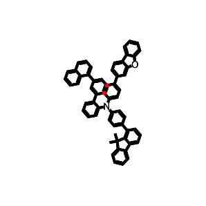 CC1(C)c2ccccc2-c2cccc(-c3ccc(N(c4ccc(-c5ccc6c(c5)oc5ccccc56)cc4)c4ccccc4-c4cccc(-c5cccc6ccccc56)c4)cc3)c21